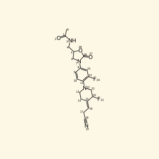 CC(=O)NCC1CN(c2ccc(N3CC/C(=C\CC#N)C(F)C3)c(F)c2)C(=O)O1